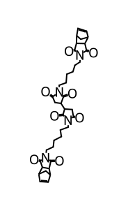 O=C1CC(C2CC(=O)N(CCCCCCN3C(=O)C4C5C=CC(C5)C4C3=O)C2=O)C(=O)N1CCCCCCN1C(=O)C2C3C=CC(C3)C2C1=O